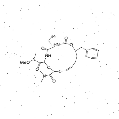 CON(C)C(=O)[C@@H]1CC(C(=O)N(C)C)CC=CCCC(Cc2ccccc2)OC(=O)N[C@@H](CC(C)C)C(=O)N1